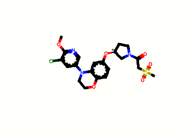 COc1ncc(N2CCOc3ccc(O[C@H]4CCN(C(=O)CS(C)(=O)=O)C4)cc32)cc1Cl